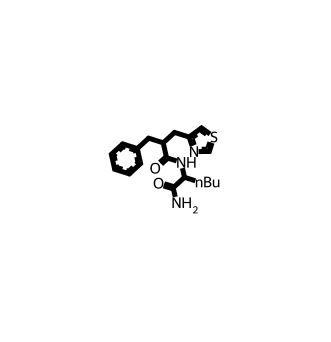 CCCCC(NC(=O)C(Cc1ccccc1)Cc1cscn1)C(N)=O